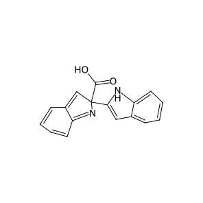 O=C(O)C1(c2cc3ccccc3[nH]2)C=c2ccccc2=N1